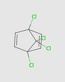 ClC12C=CC(Cl)(C=C1)C2(Cl)Cl